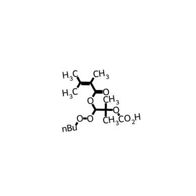 CCCCOOC(OC(=O)C(C)=C(C)C)C(C)(C)OC(=O)O